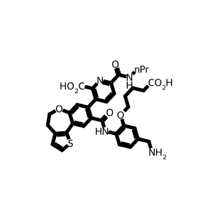 CCCNC(=O)c1ccc(-c2cc3c(cc2C(=O)Nc2ccc(CN)cc2OCCCCC(=O)O)-c2sccc2CCO3)c(C(=O)O)n1